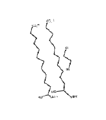 CCCCCCC(O)CCCCCCCCCCC(=O)O.CCCCCCC(O)CCCCCCCCCCC(=O)O.OCCO